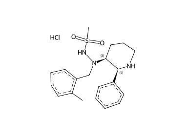 Cc1ccccc1CN(NS(C)(=O)=O)[C@H]1CCCN[C@H]1c1ccccc1.Cl